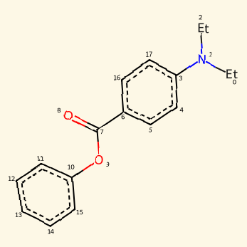 CCN(CC)c1ccc(C(=O)Oc2ccccc2)cc1